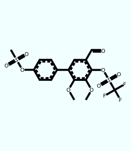 COc1c(-c2ccc(OS(C)(=O)=O)cc2)cc(C=O)c(OS(=O)(=O)C(F)(F)F)c1OC